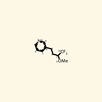 COC(CCc1cccnc1)C(F)(F)F